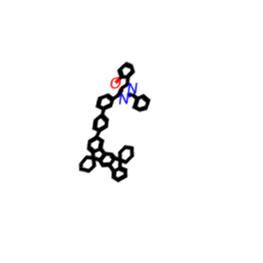 c1ccc(-c2nc(-c3cccc(-c4ccc(-c5ccc6c(c5)-c5cc7c(cc5C65CCCCC5)-c5ccccc5C75CCCCC5)cc4)c3)c3oc4ccccc4c3n2)cc1